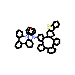 c1ccc(N(c2ccc3c(c2)c2ccccc2c2ccccc2c2ccccc2c2cc4c(cc32)sc2ccccc24)c2cccc3c2N(c2ccccc2)c2ccccc2-c2ccccc2-3)cc1